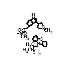 CC(CN1c2ccccc2Sc2ccccc21)N(C)C.CNS(=O)(=O)CCc1ccc2[nH]cc(C3CCN(C)CC3)c2c1